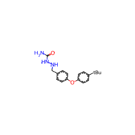 CC(C)(C)c1ccc(Oc2ccc(CNNC(N)=O)cc2)cc1